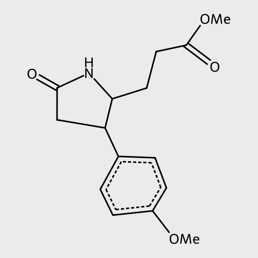 COC(=O)CCC1NC(=O)CC1c1ccc(OC)cc1